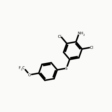 Nc1c(Cl)cc(Sc2ccc(OC(F)(F)F)cc2)cc1Cl